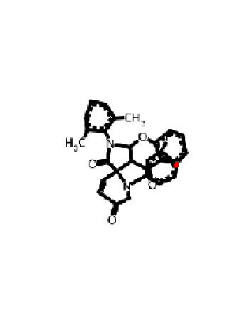 Cc1cccc(C)c1N1C(=O)C2(C=CC(=O)CN2c2cccc(F)c2)C2C(=O)c3ccccc3OC21